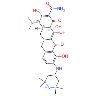 CN(C)[C@@H]1C(O)=C(C(N)=O)C(=O)[C@@]2(O)C(O)=C3C(=O)c4c(ccc(NC5CC(C)(C)NC(C)(C)C5)c4O)CC3C[C@@H]12